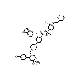 CC1(C)CC(c2ccc(Cl)cc2)=C(CN2CCN(c3ccc(C(=O)NS(=O)(=O)c4ccc(NCC5COCCO5)c([N+](=O)[O-])c4)c(Oc4cnc5[nH]ccc5c4)c3)CC2)CO1